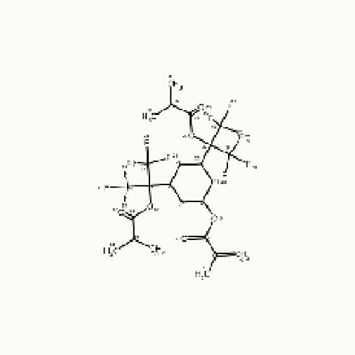 C=C(C)C(=O)OC1CC(C(OC(=O)C(C)C)(C(F)(F)F)C(F)(F)F)CC(C(OC(=O)C(C)C)(C(F)(F)F)C(F)(F)F)C1